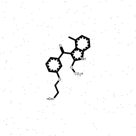 CCCCCCCCCCCCOc1cccc(C(=O)c2c(OC(=O)O)[nH]c3cccc(C)c23)c1